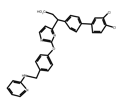 O=C(O)CC(c1ccc(-c2ccc(Cl)c(Cl)c2)cc1)c1ccnc(Oc2ccc(CNc3ccccn3)cc2)n1